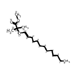 CCCCCCCCCCCC=COC(C)(C)C(=O)OC